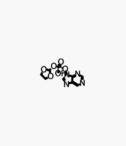 O=P(O)(OC1OCCO1)On1cnc2cncnc21